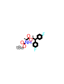 C[C@H](NC(=O)OC(C)(C)C)C(=O)O[C@@H](C)C(c1ccc(F)cc1)c1ccc(F)cc1